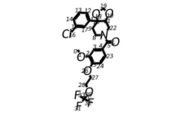 COc1cc(C(=O)N2CCC3(c4cccc(Cl)c4)OCOC3C2)ccc1OCCOC(F)(F)F